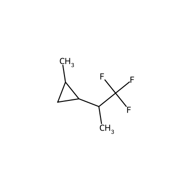 CC1CC1C(C)C(F)(F)F